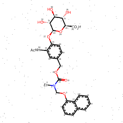 CCN(COc1cccc2ccccc12)C(=O)OCc1ccc(O[C@@H]2O[C@H](C(=O)O)[C@@H](O)[C@H](O)[C@H]2O)c(NC(C)=O)c1